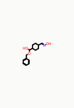 O/N=C/C1CCC(C(O)OCc2ccccc2)CC1